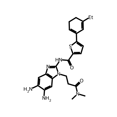 CCC1=CC(c2ccc(C(=O)Nc3nc4cc(N)c(N)cc4n3CCC(=O)N(C)C)s2)=CCC1